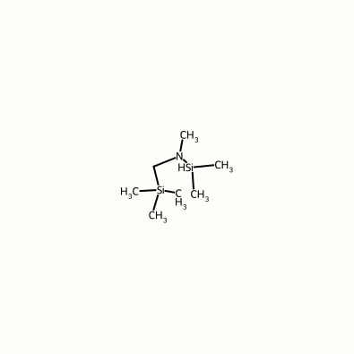 CN(C[Si](C)(C)C)[SiH](C)C